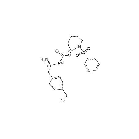 N[C@H](Cc1ccc(CO)cc1)NC(=O)O[C@H]1CCCCN1S(=O)(=O)c1ccccc1